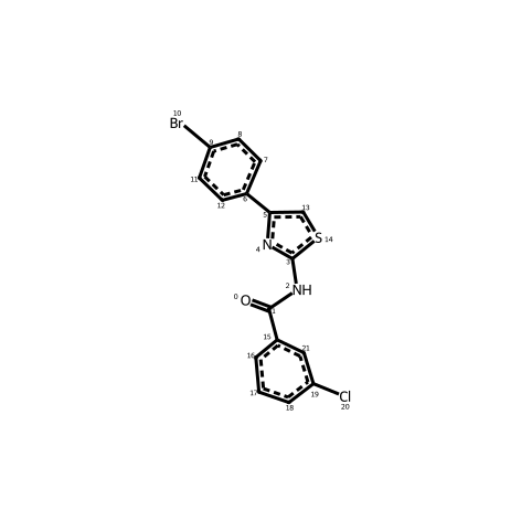 O=C(Nc1nc(-c2ccc(Br)cc2)cs1)c1cccc(Cl)c1